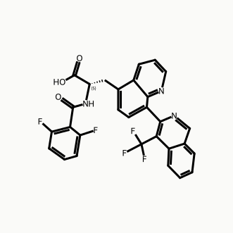 O=C(N[C@@H](Cc1ccc(-c2ncc3ccccc3c2C(F)(F)F)c2ncccc12)C(=O)O)c1c(F)cccc1F